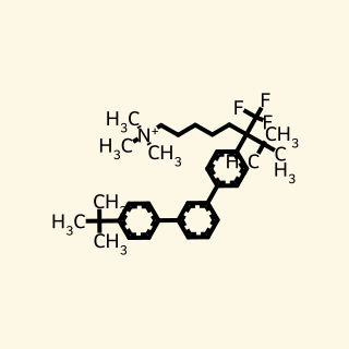 CC(C)(C)c1ccc(-c2cccc(-c3ccc(C(CCCCC[N+](C)(C)C)(C(C)(C)C)C(F)(F)F)cc3)c2)cc1